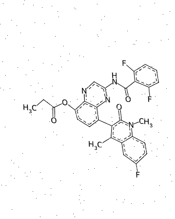 CCC(=O)Oc1ccc(-c2c(C)c3cc(F)ccc3n(C)c2=O)c2nc(NC(=O)c3c(F)cccc3F)cnc12